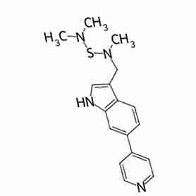 CN(C)SN(C)Cc1c[nH]c2cc(-c3ccncc3)ccc12